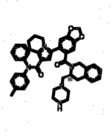 Cc1ccc(N(C(=O)c2cc(-c3cc4c(cc3C(=O)N3Cc5ccccc5C[C@H]3CN3CCNCC3)OCO4)n3c2CCCC3)c2ccccc2)cc1